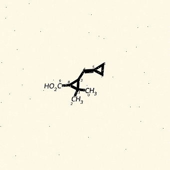 CC1(C)C(C=C2CC2)C1C(=O)O